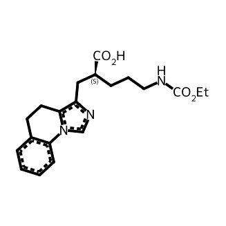 CCOC(=O)NCCC[C@@H](Cc1ncn2c1CCc1ccccc1-2)C(=O)O